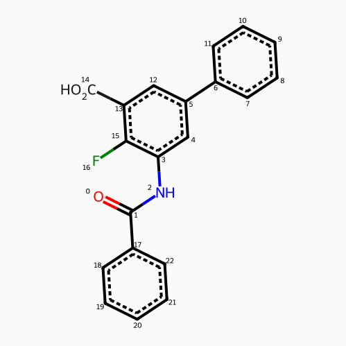 O=C(Nc1cc(-c2ccccc2)cc(C(=O)O)c1F)c1ccccc1